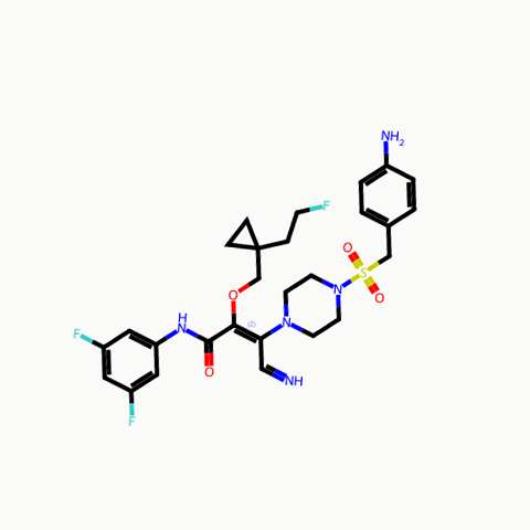 N=C/C(=C(/OCC1(CCF)CC1)C(=O)Nc1cc(F)cc(F)c1)N1CCN(S(=O)(=O)Cc2ccc(N)cc2)CC1